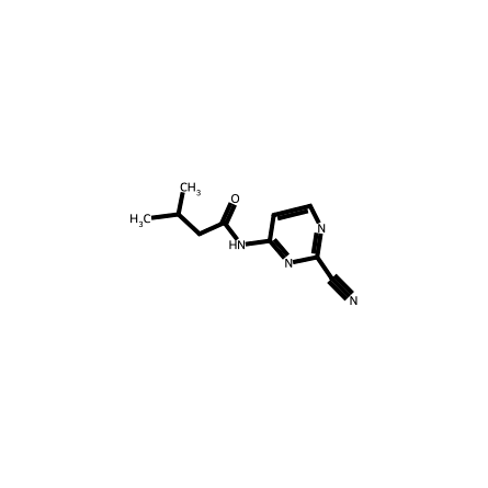 CC(C)CC(=O)Nc1ccnc(C#N)n1